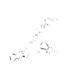 CNc1c(Cl)cc(C[C@@H](OC(=O)N2CCC(N3Cc4ccccc4NC3=O)CC2)C(=O)N2CCN(C3CCNCC3)CC2)cc1C(F)(F)F